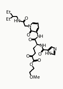 CCC(CC)CNC(=O)Cn1cccc(NC(=O)[C@H](CCC(=O)C(=O)OCCOC)NC(=O)c2cnc[nH]2)c1=O